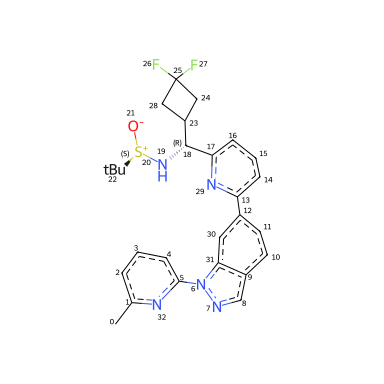 Cc1cccc(-n2ncc3ccc(-c4cccc([C@H](N[S@+]([O-])C(C)(C)C)C5CC(F)(F)C5)n4)cc32)n1